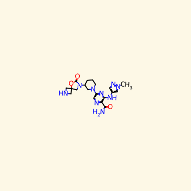 Cn1cc(Nc2nc(N3CCCC(N4CC5(CNC5)OC4=O)C3)cnc2C(N)=O)cn1